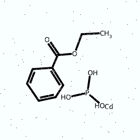 CCOC(=O)c1ccccc1.OP(O)O.[Cd]